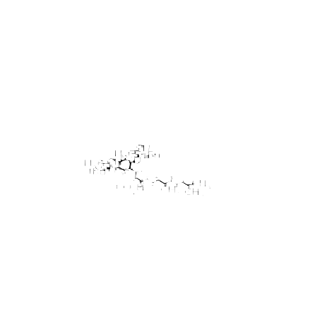 CC(C)=CCC/C(C)=C/CCC(=CCc1cc(O[Si](C)(C)C(C)(C)C)ccc1O[Si](C)(C)C(C)(C)C)C(=O)O